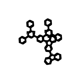 c1ccc(-c2cc(-c3ccc(-n4c5ccccc5c5cc(-n6c7ccccc7c7ccccc76)ccc54)c(-c4nc(-c5ccccc5)cc(-c5ccccc5)n4)c3)nc(-c3ccccc3)n2)cc1